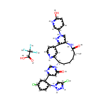 C[C@@H]1CCC[C@H](n2cnc(-c3cc(Cl)ccc3-n3cc(Cl)nn3)cc2=O)c2cc(ccn2)-c2nn(-c3ccc(O)nc3)cc2NC1=O.O=C(O)C(F)(F)F